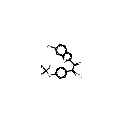 C=C(C(=O)c1cc2ccc(Cl)cc2s1)c1ccc(OC(F)(F)F)cc1